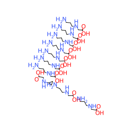 NCCCNCC(=O)O.NCCCNCC(=O)O.NCCCNCC(=O)O.NCCCNCC(=O)O.NCCCNCC(=O)O.NCCCNCC(=O)O.NCCCNCC(=O)O.NCCCNCC(=O)O.NCCCNCC(=O)O.O=C(O)CNC1CC1